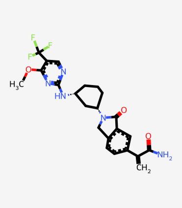 C=C(C(N)=O)c1ccc2c(c1)C(=O)N([C@H]1CCC[C@@H](Nc3ncc(C(F)(F)F)c(OC)n3)C1)C2